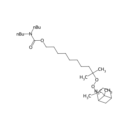 CCCCN(CCCC)C(=O)OCCCCCCCCC(C)(C)OOC1(C)CCC2CC1C2(C)C